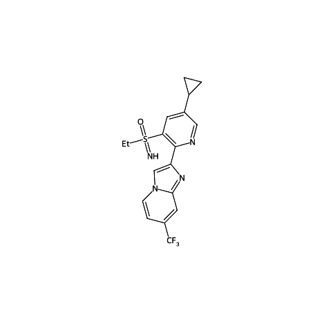 CCS(=N)(=O)c1cc(C2CC2)cnc1-c1cn2ccc(C(F)(F)F)cc2n1